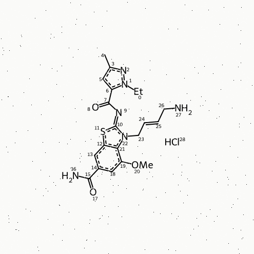 CCn1nc(C)cc1C(=O)/N=c1\sc2cc(C(N)=O)cc(OC)c2n1C/C=C/CN.Cl